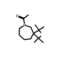 CC(=O)N1CCCCC(C(C)(C)C)(C(C)(C)C)C1